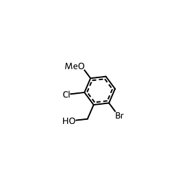 COc1ccc(Br)c(CO)c1Cl